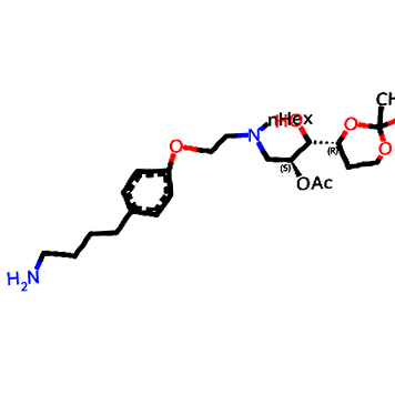 CCCCCCN(CCOc1ccc(CCCCN)cc1)C[C@H](OC(C)=O)C(O)[C@H]1CCOC(C)(O)O1